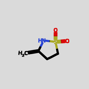 C=C1CCS(=O)(=O)N1